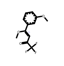 CO/C(=C\C(=O)C(F)(F)F)c1cccc(OC)c1